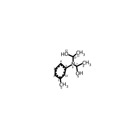 Cc1cccc(N(C(C)O)C(C)O)c1